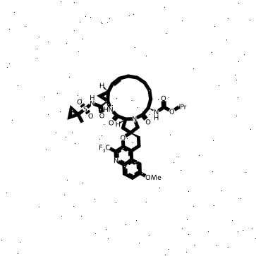 COc1ccc2nc(C(F)(F)F)c3c(c2c1)CC[C@]1(C[C@H]2C(=O)N[C@]4(C(=O)NS(=O)(=O)C5(C)CC5)C[C@H]4/C=C\CCCCC[C@H](NC(=O)OC(C)C)C(=O)N2C1)O3